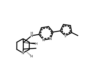 Cc1ccc(-c2ccc(N[C@H]3C4CCN(CC4)[C@@H]3C)nn2)s1